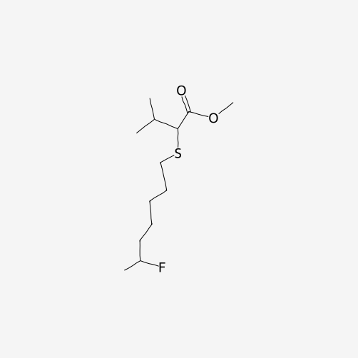 COC(=O)C(SCCCCCC(C)F)C(C)C